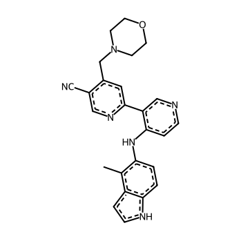 Cc1c(Nc2ccncc2-c2cc(CN3CCOCC3)c(C#N)cn2)ccc2[nH]ccc12